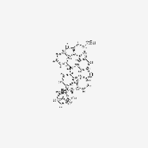 CC(C)(C)c1ccc2c(c1)oc1cccc(N(c3ccc(-c4ccccc4)cc3)c3cccc4oc5ccc(-c6ccccc6)cc5c34)c12